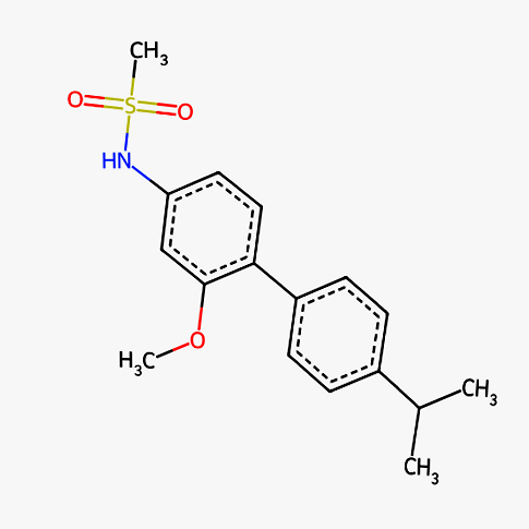 COc1cc(NS(C)(=O)=O)ccc1-c1ccc(C(C)C)cc1